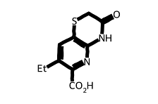 CCc1cc2c(nc1C(=O)O)NC(=O)CS2